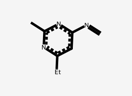 C=Nc1cc(CC)nc(C)n1